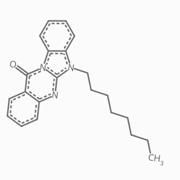 CCCCCCCCn1c2ccccc2n2c(=O)c3ccccc3nc12